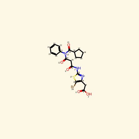 O=C(O)Cc1nc(NC(=O)CC(=O)N(C(=O)C2CCCC2)c2ccccc2)sc1Br